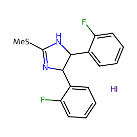 CSC1=NC(c2ccccc2F)C(c2ccccc2F)N1.I